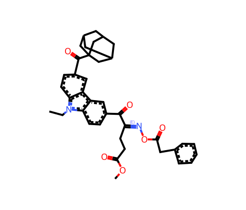 CCn1c2ccc(C(=O)/C(CCC(=O)OC)=N/OC(=O)Cc3ccccc3)cc2c2cc(C(=O)C34CC5CC(CC(C5)C3)C4)ccc21